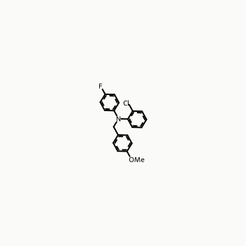 COc1ccc(CN(c2ccc(F)cc2)c2ccccc2Cl)cc1